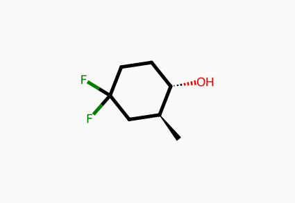 C[C@H]1CC(F)(F)CC[C@@H]1O